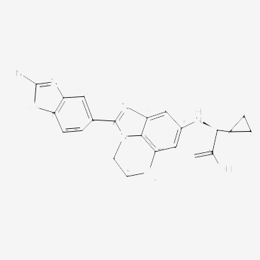 C[C@@H]1Cn2c(-c3ccc4oc(N)nc4c3)nc3cc(N[C@H](C(=O)O)C4CC4)cc(c32)O1